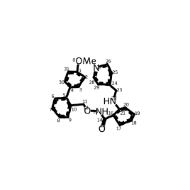 COc1ccc(-c2ccccc2CONC(=O)c2ccccc2NCc2ccncc2)cc1